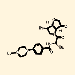 CC[C@H](C)[C@H](NC(=O)c1ccc(N2CCN(CC)CC2)cc1)C(=O)N1C[C@@H](C(C)C)[C@H]2OCC(=O)[C@H]21